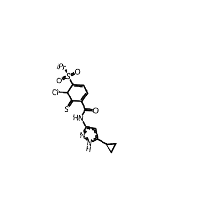 CC(C)S(=O)(=O)C1=CC=C(C(=O)Nc2cc(C3CC3)[nH]n2)C(=S)C1Cl